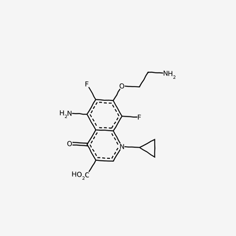 NCCOc1c(F)c(N)c2c(=O)c(C(=O)O)cn(C3CC3)c2c1F